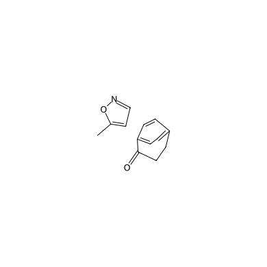 Cc1ccno1.O=C1CCc2ccc1cc2